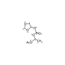 CC(=O)OC(C)OC(=O)OC1COCO1